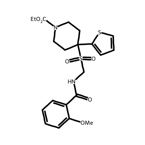 CCOC(=O)N1CCC(c2cccs2)(S(=O)(=O)CNC(=O)c2ccccc2OC)CC1